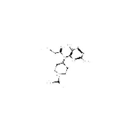 CCOC(=O)CC(=O)N(c1nc(OC)ccc1N)C1CCN(C(=O)C(F)(F)F)CC1